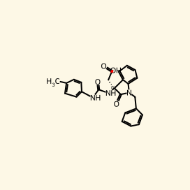 Cc1ccc(NC(=O)N[C@]2(CC(=O)O)C(=O)N(Cc3ccccc3)c3ccccc32)cc1